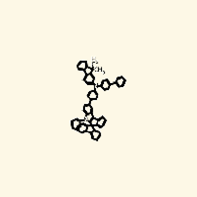 CC1(C)c2ccccc2-c2ccc(N(c3ccc(-c4ccccc4)cc3)c3ccc(-c4ccc5c(c4)c4c(n5-c5ccccc5)C5(c6ccccc6-c6ccccc65)c5ccccc5-4)cc3)cc21